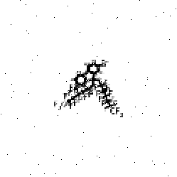 FC(F)(F)C(F)(F)C(F)(F)C(F)(F)C(F)(F)C(F)(F)CC1(CC(F)(F)C(F)(F)C(F)(F)C(F)(F)C(F)(F)C(F)(F)F)c2cc(Br)ccc2-c2ccc(Br)cc21